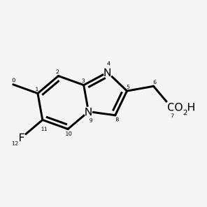 Cc1cc2nc(CC(=O)O)cn2cc1F